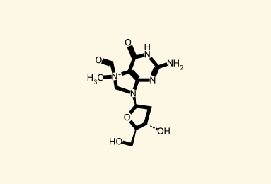 C[N+]1(C=O)CN([C@H]2C[C@H](O)[C@@H](CO)O2)c2nc(N)[nH]c(=O)c21